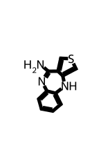 NC1=Nc2ccccc2Nc2cscc21